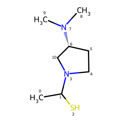 CC(S)N1CC[C@@H](N(C)C)C1